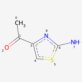 CC(=O)c1csc([NH])n1